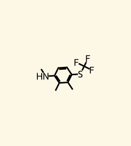 CNc1ccc(SC(F)(F)F)c(C)c1C